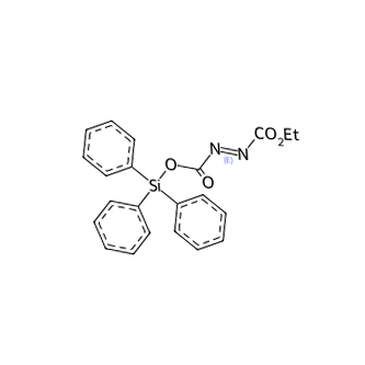 CCOC(=O)/N=N/C(=O)O[Si](c1ccccc1)(c1ccccc1)c1ccccc1